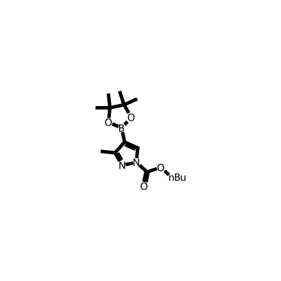 CCCCOC(=O)n1cc(B2OC(C)(C)C(C)(C)O2)c(C)n1